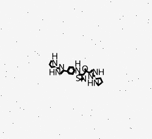 O=C(c1c[nH]c([C@@H]2CCCN2)n1)c1ncsc1Nc1ccc(-c2c[nH]c([C@@H]3CCCN3)n2)cc1